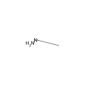 CCCCCCCCCCCCCCCCC=CN1CC1CN